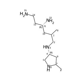 CC(CN[C@H]1CNC(C)C1)C[C@@H](N)CCN